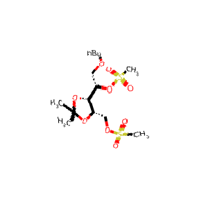 CCCCOC[C@H](OS(C)(=O)=O)[C@H]1OC(C)(C)O[C@H]1COS(C)(=O)=O